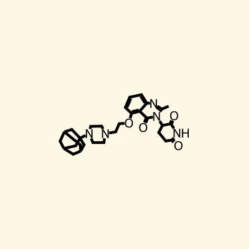 Cc1nc2cccc(OCCN3CCN(C45CC6CC(CC(C6)C4)C5)CC3)c2c(=O)n1C1CCC(=O)NC1=O